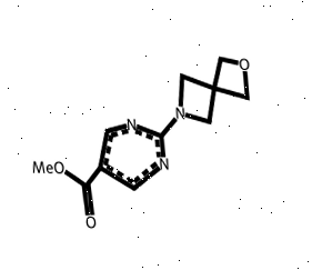 COC(=O)c1cnc(N2CC3(COC3)C2)nc1